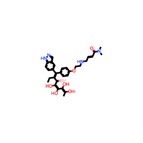 B=C(/C(O)=C(O)\C(O)=C(/C)O)/C(CC)=C(\c1ccc(OCCNC/C=C/C(=O)N(C)C)cc1)c1ccc2[nH]ncc2c1